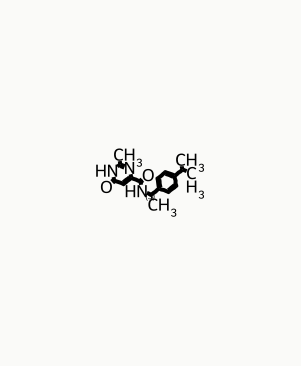 Cc1nc(C(=O)N[C@@H](C)c2ccc(C(C)C)cc2)cc(=O)[nH]1